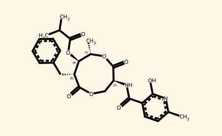 Cc1ccc(C(=O)N[C@H]2COC(=O)[C@H](Cc3ccccc3)[C@@H](OC(=O)C(C)C)[C@H](C)OC2=O)c(O)n1